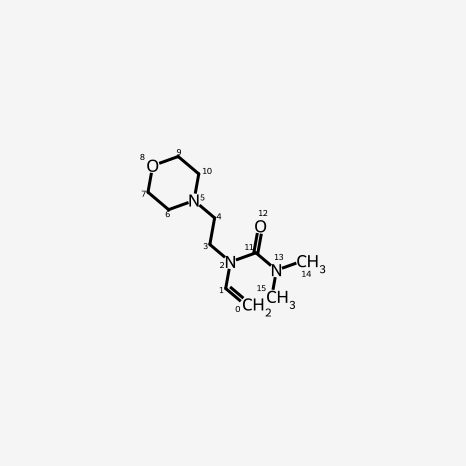 C=CN(CCN1CCOCC1)C(=O)N(C)C